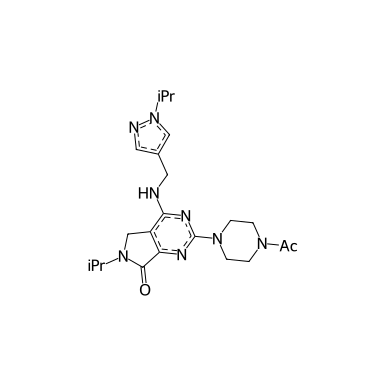 CC(=O)N1CCN(c2nc(NCc3cnn(C(C)C)c3)c3c(n2)C(=O)N(C(C)C)C3)CC1